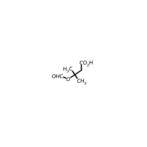 CC(C)(CC(=O)O)OC=O